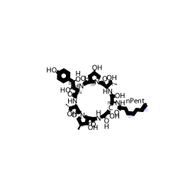 CCCCC/C=C\C/C=C\CC(=O)N[C@H]1C[C@@H](O)[C@@H](O)NC(=O)[C@@H]2[C@@H](O)[C@@H](C)CN2C(=O)[C@H]([C@@H](C)O)NC(=O)[C@H]([C@H](O)[C@@H](O)c2ccc(O)cc2)NC(=O)[C@@H]2C[C@@H](O)CN2C(=O)[C@H]([C@@H](C)O)NC1O